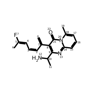 C=C(/C=C\C=C(/C)F)c1c(C(C)N)nc2cccc(C)n2c1=O